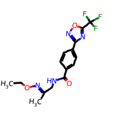 CCON=C(C)CNC(=O)c1ccc(-c2noc(C(F)(F)F)n2)cc1